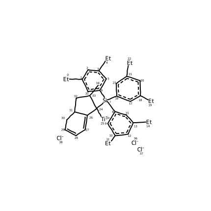 CCc1cc(CC)cc([Si](c2cc(CC)cc(CC)c2)(c2cc(CC)cc(CC)c2)[C]2([Ti+3])C3=CC=CCC3CC2C)c1.[Cl-].[Cl-].[Cl-]